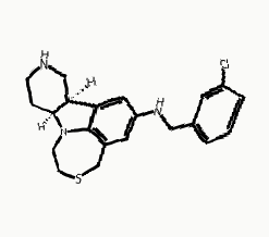 Clc1cccc(CNc2cc3c4c(c2)[C@@H]2CNCC[C@@H]2N4CCSC3)c1